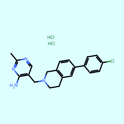 Cc1ncc(CN2CCc3cc(-c4ccc(Cl)cc4)ccc3C2)c(N)n1.Cl.Cl